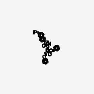 CC(C)N1CCc2cc(-n3cnn(CCN(CCOc4ccccc4)C(=O)OCc4ccccc4)c3=O)ccc2C1